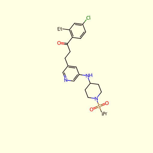 CCc1cc(Cl)ccc1C(=O)CCc1cncc(NC2CCN(S(=O)(=O)C(C)C)CC2)c1